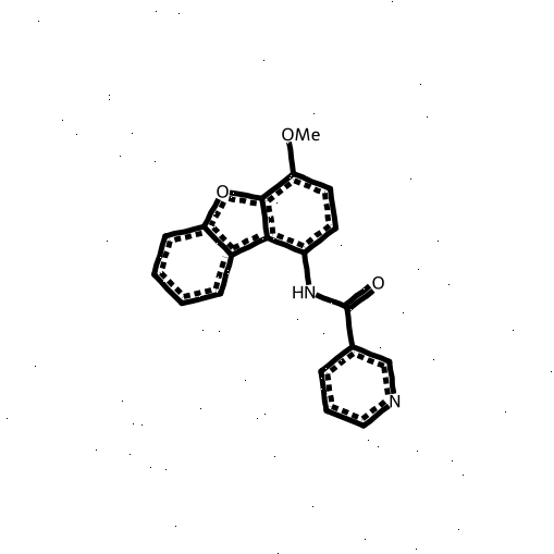 COc1ccc(NC(=O)c2cccnc2)c2c1oc1ccccc12